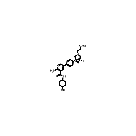 COCCN1C[C@@H]2C[C@]2(c2ccc(-c3cnc(N)c(C(=O)NC4CCC(O)CC4)c3)cc2)C1